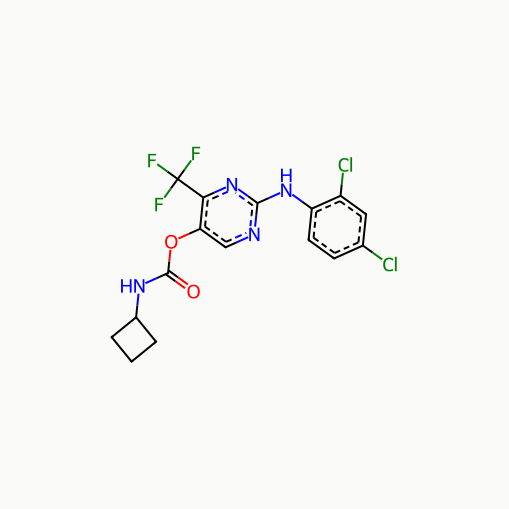 O=C(NC1CCC1)Oc1cnc(Nc2ccc(Cl)cc2Cl)nc1C(F)(F)F